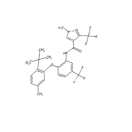 Cc1ccc(C(C)(C)C)c(Oc2ccc(C(F)(F)F)cc2NC(=O)c2cn(C)nc2C(F)(F)F)c1